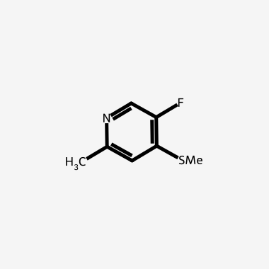 CSc1cc(C)ncc1F